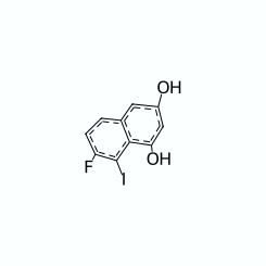 Oc1cc(O)c2c(I)c(F)ccc2c1